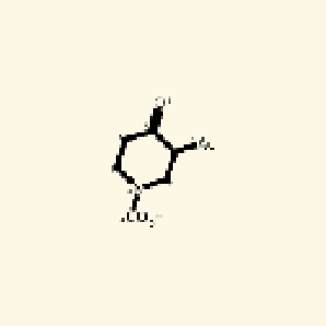 CC(=O)C1CN(C(=O)O)CCC1=O